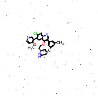 COc1ccncc1-c1cc2c(OCC[C@H]3CCCCN3)c(-c3cc(C)cc(C)c3)cnc2cc1Cl